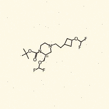 CC(C)(C)OC(=O)N1CCN(CCC2CC(OC(F)F)C2)C[C@H]1COC(F)F